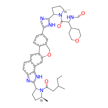 CCC(C)CC(=O)N1C(c2nc3ccc4cc5c(cc4c3[nH]2)OCc2cc(-c3cnc(C4CC[C@H](C)N4C(=O)C(NC=O)C4CCOCC4)[nH]3)ccc2-5)CC[C@@H]1C